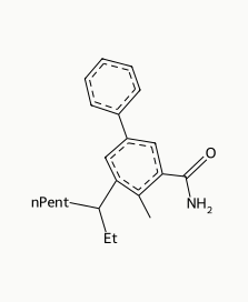 CCCCCC(CC)c1cc(-c2ccccc2)cc(C(N)=O)c1C